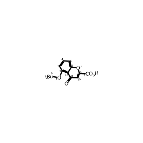 CC(C)(C)Oc1cccc2oc(C(=O)O)cc(=O)c12